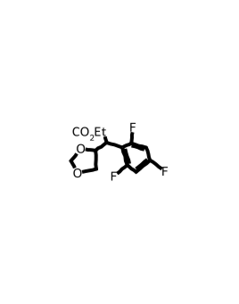 CCOC(=O)C(c1c(F)cc(F)cc1F)C1COCO1